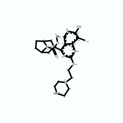 CC(C)(C)OC(=O)N1C2CCC1CN(c1nc(OCCN3CCNCC3)nc3c(F)c(Cl)ncc13)C2